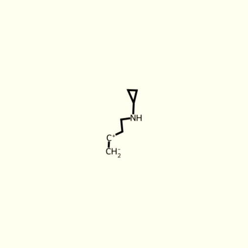 [CH2-][CH+]CCNC1CC1